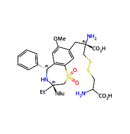 CCCC[C@]1(CC)CS(=O)(=O)c2cc(C[C@](N)(CSSCC(N)C(=O)O)C(=O)O)c(OC)cc2[C@@H](c2ccccc2)N1